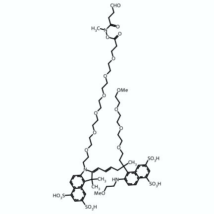 COCCNc1ccc2c(S(=O)(=O)O)cc(S(=O)(=O)O)cc2c1C(C)(C/C=C/C=C1/N(CCOCCOCCOCCOCCOCCOCCC(=O)ON(C)C(=O)CCC=O)c2ccc3c(S(=O)(=O)O)cc(S(=O)(=O)O)cc3c2C1(C)C)CCOCCOCCOCCOC